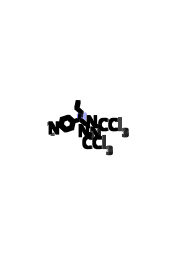 C=C/C=C(\c1ccc(N(C)C)cc1)c1nc(C(Cl)(Cl)Cl)nc(C(Cl)(Cl)Cl)n1